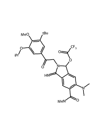 CNC(=O)c1cc2c(cc1N(C)C)C(OC(=O)C(F)(F)F)N(CC(=O)c1cc(OC(C)C)c(OC)c(C(C)(C)C)c1)C2=N